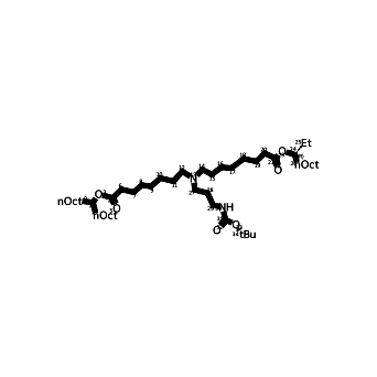 CCCCCCCCC(CCCCCCCC)OC(=O)CCCCCCCN(CCCCCCCC(=O)O[C@H](CC)CCCCCCCC)CCCNC(=O)OC(C)(C)C